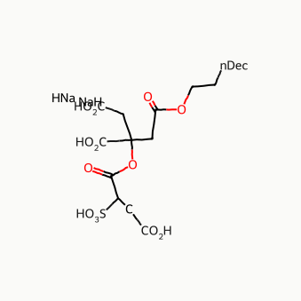 CCCCCCCCCCCCOC(=O)CC(CC(=O)O)(OC(=O)C(CC(=O)O)S(=O)(=O)O)C(=O)O.[NaH].[NaH]